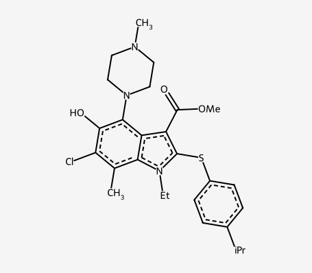 CCn1c(Sc2ccc(C(C)C)cc2)c(C(=O)OC)c2c(N3CCN(C)CC3)c(O)c(Cl)c(C)c21